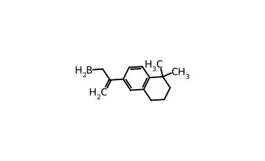 BCC(=C)c1ccc2c(c1)CCCC2(C)C